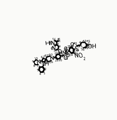 CC(C)c1ccccc1[C@@H]1CCCN1C1CC2(CCN(c3ccc(C(=O)NS(=O)(=O)c4cc5c(c([N+](=O)[O-])c4)S[C@@H]([C@H]4CC[C@](C)(O)CC4)CO5)c(Oc4cnc5[nH]cc(F)c5c4)c3)CC2)C1